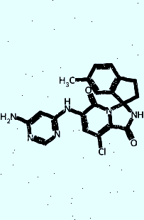 Cc1ccc2c(c1)C1(CC2)NC(=O)c2c(Cl)cc(Nc3cc(N)ncn3)c(=O)n21